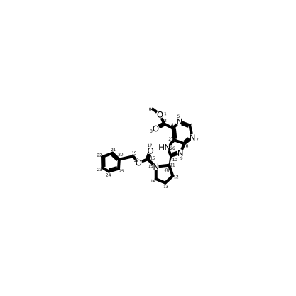 COC(=O)c1ncnc2nc([C@H]3CCCN3C(=O)OCc3ccccc3)[nH]c12